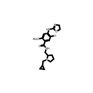 COc1cc(NC2=NCCO2)c(Cl)cc1C(=O)NCC1CCCN1CC1CC1